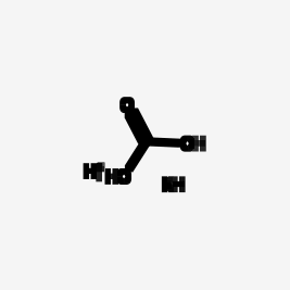 O=C(O)O.[Hf].[KH]